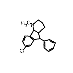 CN1CCCC2C(c3ccccc3)c3cc(Cl)ccc3C21